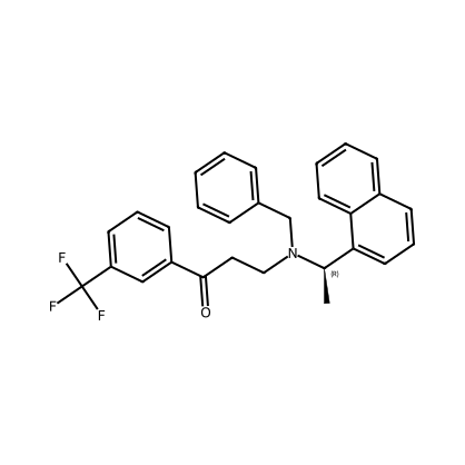 C[C@H](c1cccc2ccccc12)N(CCC(=O)c1cccc(C(F)(F)F)c1)Cc1ccccc1